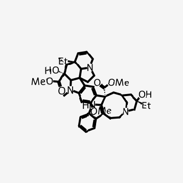 CC[C@]1(O)CC2CN(CCc3c([nH]c4ccccc34)[C@@](C(=O)OC)(c3cc4c(cc3OC)N(C)C3C45CCN4CC=C[C@](CC)(C45)[C@@H](C)[C@]3(O)C(=O)OC)C2)C1